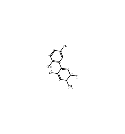 CC1C=C(Cl)C(c2cc(Cl)ccc2Cl)=CC1Cl